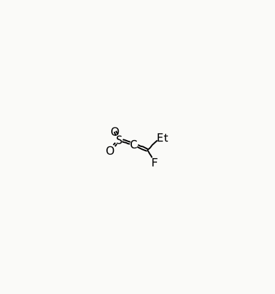 [CH2]CC(F)=C=S(=O)=O